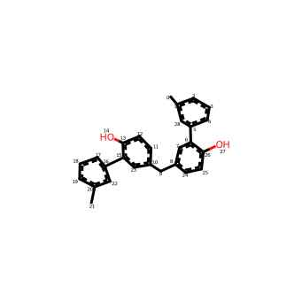 Cc1cccc(-c2cc(Cc3ccc(O)c(-c4cccc(C)c4)c3)ccc2O)c1